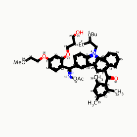 CCCCC(CC)Cn1c2ccc(/C(=N\OC(C)=O)c3ccc(OCCOC)cc3OCCCO)cc2c2cc(C(=O)c3c(C)cc(C)cc3C)c3ccccc3c21